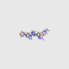 CC(C)N1CCC(Oc2ccc(-c3ccnc(Nc4ccc(N5CCOCC5)cc4)n3)cc2N)CC1